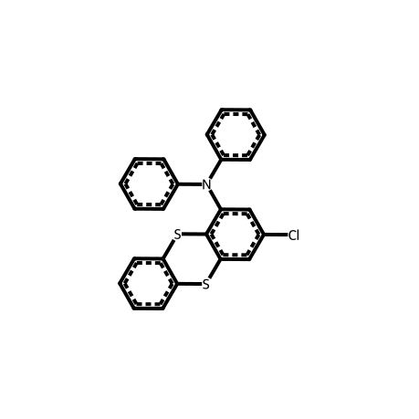 Clc1cc2c(c(N(c3ccccc3)c3ccccc3)c1)Sc1ccccc1S2